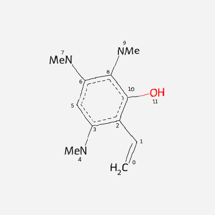 C=Cc1c(NC)cc(NC)c(NC)c1O